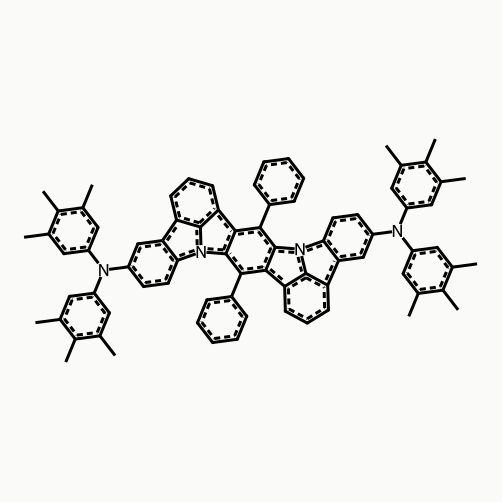 Cc1cc(N(c2cc(C)c(C)c(C)c2)c2ccc3c(c2)c2cccc4c5c(-c6ccccc6)c6c(c(-c7ccccc7)c5n3c24)c2cccc3c4cc(N(c5cc(C)c(C)c(C)c5)c5cc(C)c(C)c(C)c5)ccc4n6c32)cc(C)c1C